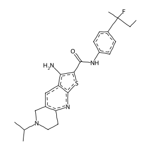 CCC(C)(F)c1ccc(NC(=O)c2sc3nc4c(cc3c2N)CN(C(C)C)CC4)cc1